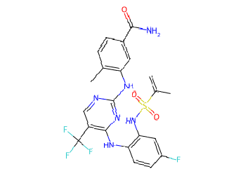 C=C(C)S(=O)(=O)Nc1cc(F)ccc1Nc1nc(Nc2cc(C(N)=O)ccc2C)ncc1C(F)(F)F